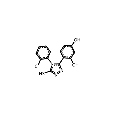 Oc1ccc(-c2nnc(S)n2-c2ccccc2Cl)c(O)c1